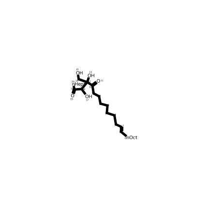 CCCCCCCCC=CCCCCCCCC(=O)C(O)(CO)C(O)C(=O)CCCCCCC